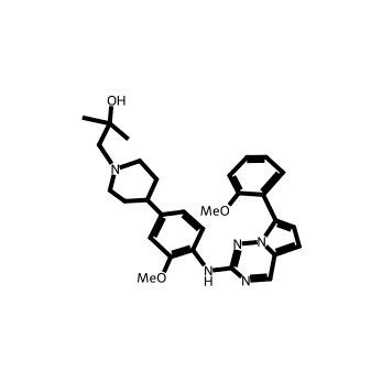 COc1cc(C2CCN(CC(C)(C)O)CC2)ccc1Nc1ncc2ccc(-c3ccccc3OC)n2n1